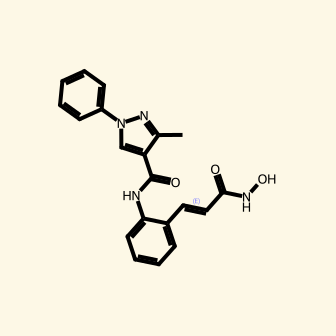 Cc1nn(-c2ccccc2)cc1C(=O)Nc1ccccc1/C=C/C(=O)NO